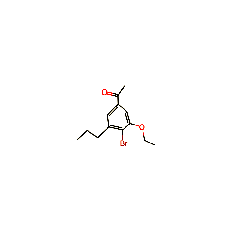 CCCc1cc(C(C)=O)cc(OCC)c1Br